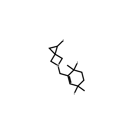 CC1(I)C=C(CN2CC3(CC3I)C2)C(C)(I)CC1